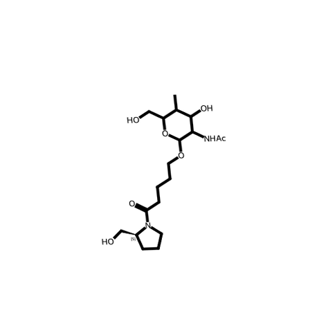 CC(=O)NC1C(OCCCCC(=O)N2CCC[C@H]2CO)OC(CO)C(C)C1O